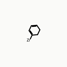 [Zr][C]1=CC=CCC1